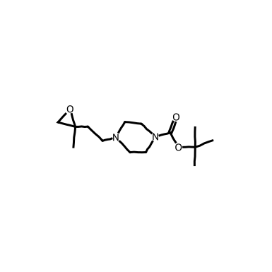 CC(C)(C)OC(=O)N1CCN(CCC2(C)CO2)CC1